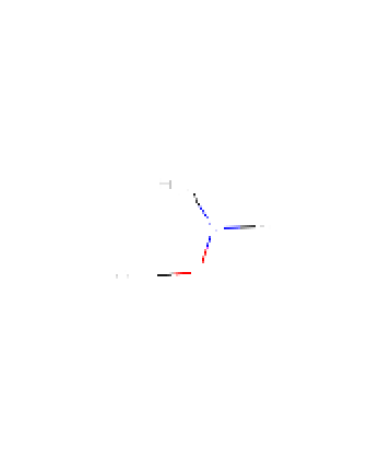 CCN(C)OC=O